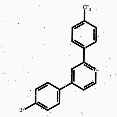 FC(F)(F)c1ccc(-c2cc(-c3ccc(Br)cc3)ccn2)cc1